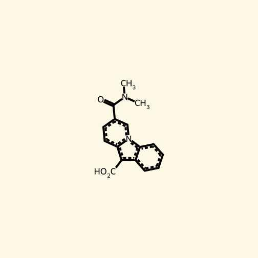 CN(C)C(=O)c1ccc2c(C(=O)O)c3ccccc3n2c1